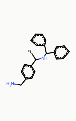 CCC(NC(c1ccccc1)c1ccccc1)c1ccc(CN)cc1